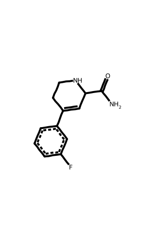 NC(=O)C1C=C(c2cccc(F)c2)CCN1